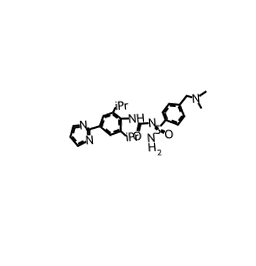 CC(C)c1cc(-c2ncccn2)cc(C(C)C)c1NC(=O)N=S(N)(=O)c1ccc(CN(C)C)cc1